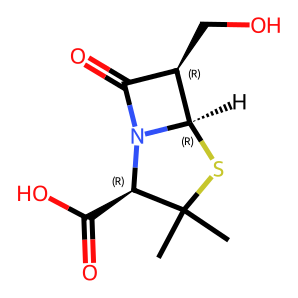 CC1(C)S[C@@H]2[C@H](CO)C(=O)N2[C@@H]1C(=O)O